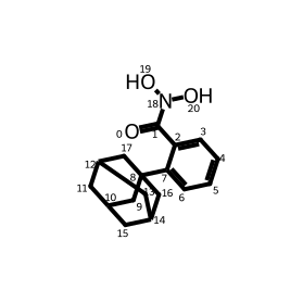 O=C(c1ccccc1C12CC3CC(CC(C3)C1)C2)N(O)O